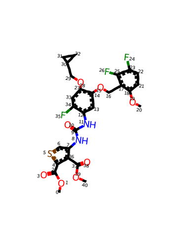 COC(=O)c1scc(NC(=O)Nc2cc(OCc3c(OC)ccc(F)c3F)c(OCC3CC3)cc2F)c1C(=O)OC